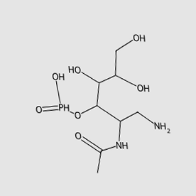 CC(=O)NC(CN)C(O[PH](=O)O)C(O)C(O)CO